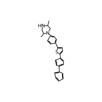 CC1CN(c2ccc(-c3ccc(-c4ccc(-c5ccccc5)cc4)s3)cc2)C(C)CN1